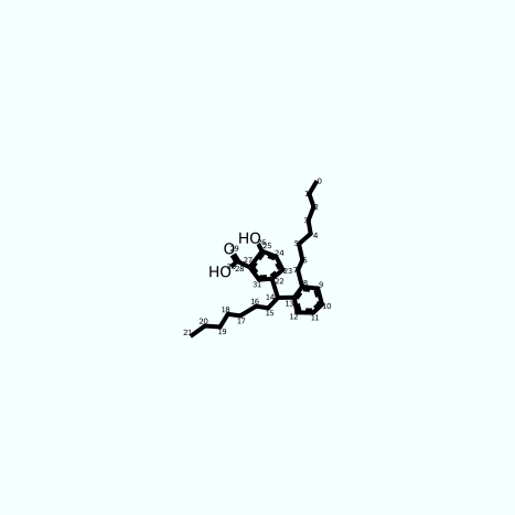 CCCCCCCCc1ccccc1C(CCCCCCC)c1ccc(O)c(C(=O)O)c1